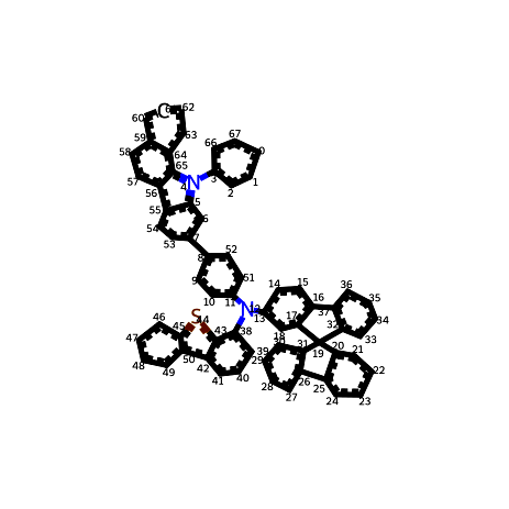 c1ccc(-n2c3cc(-c4ccc(N(c5ccc6c(c5)C5(c7ccccc7-c7ccccc75)c5ccccc5-6)c5cccc6c5sc5ccccc56)cc4)ccc3c3ccc4ccccc4c32)cc1